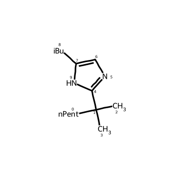 CCCCCC(C)(C)c1ncc(C(C)CC)[nH]1